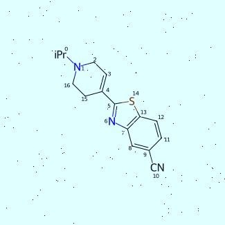 CC(C)N1CC=C(c2nc3cc(C#N)ccc3s2)CC1